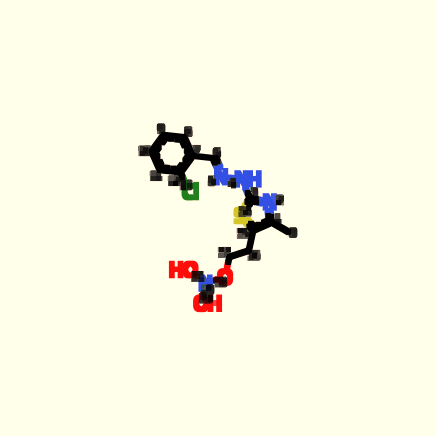 Cc1nc(NN=Cc2ccccc2Cl)sc1CCON(O)O